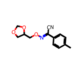 Cc1ccc(C(C#N)=NOCC2COCO2)cc1